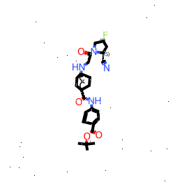 CC(C)(C)OC(=O)c1ccc(NC(=O)C23CCC(NCC(=O)N4C[C@@H](F)C[C@H]4C#N)(CC2)CC3)cc1